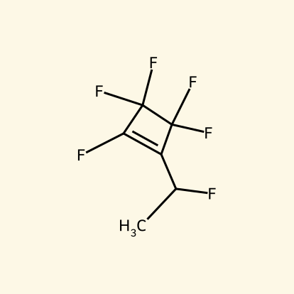 CC(F)C1=C(F)C(F)(F)C1(F)F